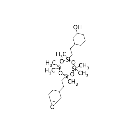 C[Si]1(C)O[Si](C)(CCC2CCCC(O)C2)O[Si](C)(C)O[Si](C)(CCC2CCC3OC3C2)O1